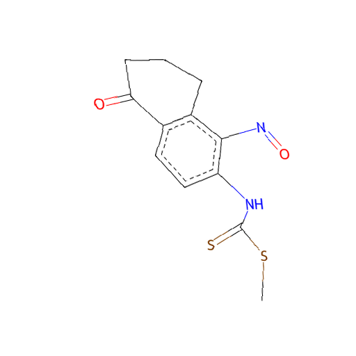 CSC(=S)Nc1ccc2c(c1N=O)CCCC2=O